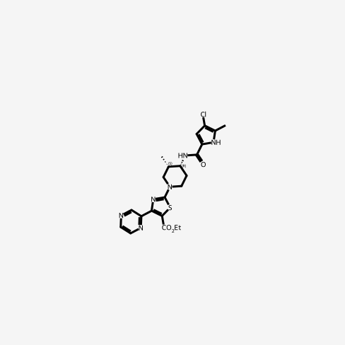 CCOC(=O)c1sc(N2CC[C@@H](NC(=O)c3cc(Cl)c(C)[nH]3)[C@@H](C)C2)nc1-c1cnccn1